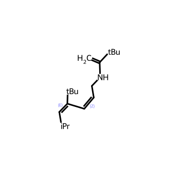 C=C(NC/C=C\C(=C/C(C)C)C(C)(C)C)C(C)(C)C